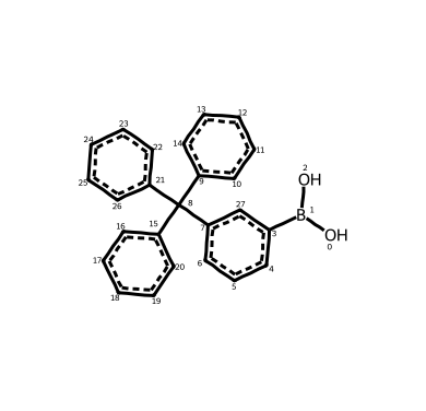 OB(O)c1cccc(C(c2ccccc2)(c2ccccc2)c2ccccc2)c1